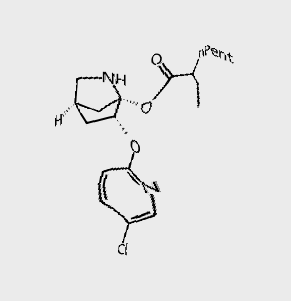 CCCCCC(C)C(=O)O[C@]12C[C@H](CN1)C[C@H]2Oc1ccc(Cl)cn1